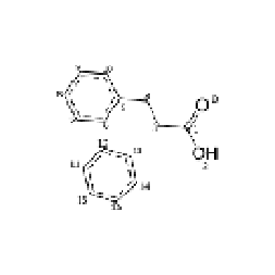 O=C(O)CCc1ccccc1.c1ccccc1